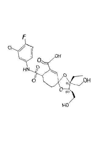 CC[C@]1(CO)OC2(C=C(C(=O)O)C(S(=O)(=O)Nc3ccc(F)c(Cl)c3)CC2)O[C@@H]1CO